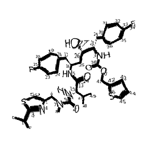 CC(C)c1nc(CN(C)C(=O)N[C@H](C(=O)N[C@@H](Cc2ccc(F)cc2)C[C@H](O)[C@H](Cc2ccc(F)cc2)NC(=O)OCc2cccs2)C(C)C)cs1